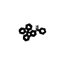 C1=C(Nc2ccc3c(c2)C(c2ccccc2)(c2ccccc2)c2ccccc2-3)CCCC1